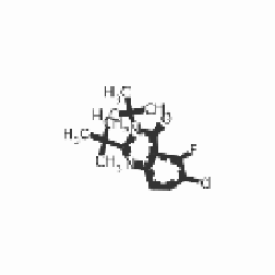 CC(C)(C)c1nc2ccc(Cl)c(F)c2c(=O)n1C(C)(C)C